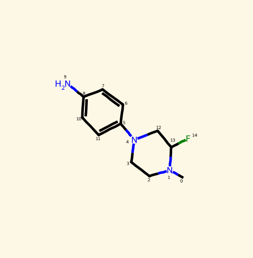 CN1CCN(c2ccc(N)cc2)CC1F